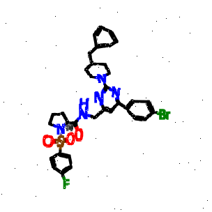 O=C(NCc1cc(-c2ccc(Br)cc2)nc(N2CCC(Cc3ccccc3)CC2)n1)[C@@H]1CCCN1S(=O)(=O)c1ccc(F)cc1